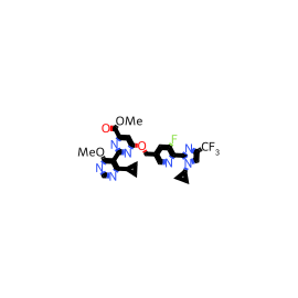 COC(=O)c1cc(OCc2cnc(-c3nc(C(F)(F)F)cn3C3CC3)c(F)c2)nc(-c2c(OC)ncnc2C2CC2)n1